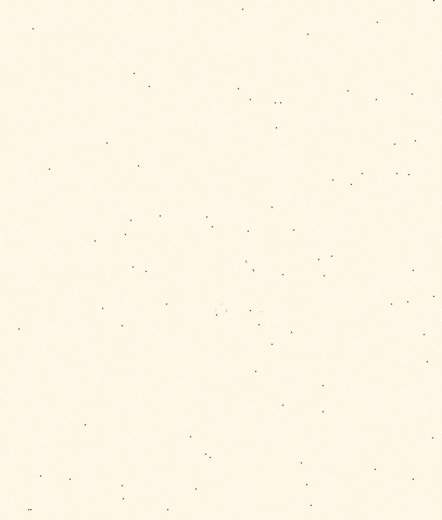 C=C(/C=C\C)S1(=O)=Nc2c(ccc3ccc(-c4ccccc4)cc23)C=C1